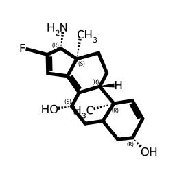 C[C@]12CC[C@H]3C(=C1C=C(F)[C@@H]2N)[C@@H](O)CC1C[C@@H](O)C=C[C@@]13C